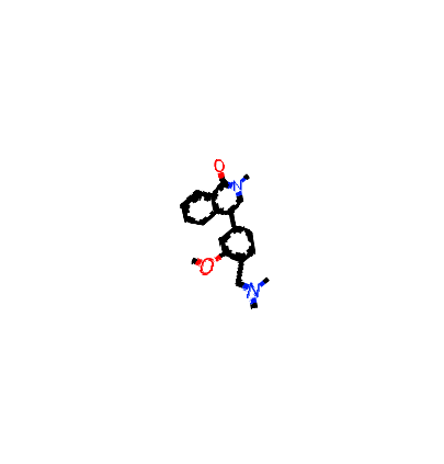 COc1cc(-c2cn(C)c(=O)c3ccccc23)ccc1CN(C)C